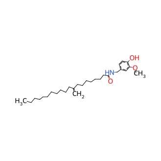 C=C(CCCCCCCCCCC)CCCCCCCC(=O)NCc1ccc(O)c(OC)c1